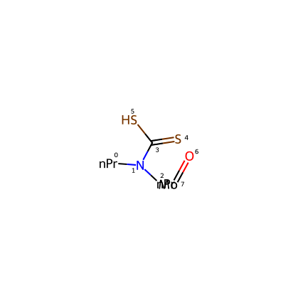 CCCN(CCC)C(=S)S.[O]=[Mo]